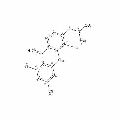 C=Cc1ccc(CN(C(=O)O)C(C)(C)C)c(F)c1Oc1cc(Cl)cc(C#N)c1